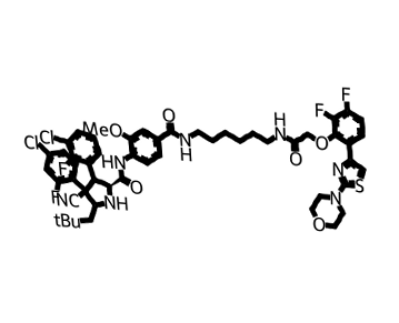 COc1cc(C(=O)NCCCCCCNC(=O)COc2c(-c3csc(N4CCOCC4)n3)ccc(F)c2F)ccc1NC(=O)[C@H]1NC(CC(C)(C)C)C(C#N)(c2ccc(Cl)cc2F)C1c1cccc(Cl)c1F